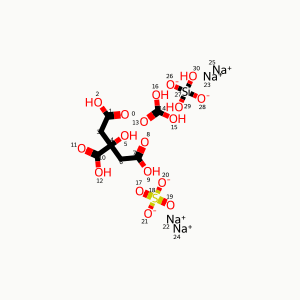 O=C(O)CC(O)(CC(=O)O)C(=O)O.O=C(O)O.O=S(=O)([O-])[O-].[Na+].[Na+].[Na+].[Na+].[O-][Si]([O-])(O)O